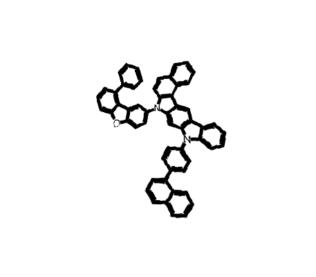 c1ccc(-c2cccc3oc4ccc(-n5c6cc7c(cc6c6c8ccccc8ccc65)c5ccccc5n7-c5ccc(-c6cccc7ccccc67)cc5)cc4c23)cc1